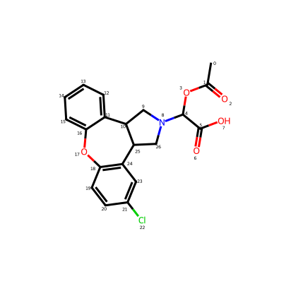 CC(=O)OC(C(=O)O)N1CC2c3ccccc3Oc3ccc(Cl)cc3C2C1